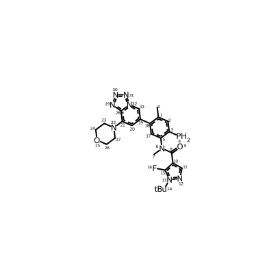 Cc1cc(P)c(N(C)C(=O)c2cnn(C(C)(C)C)c2F)cc1-c1cc(N2CCOCC2)c2nnnn2c1